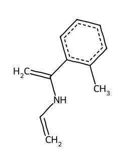 C=CNC(=C)c1ccccc1C